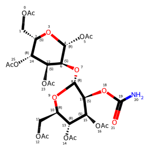 CC(=O)OC[C@@H]1O[C@H](OC(C)=O)[C@@H](O[C@H]2O[C@H](COC(C)=O)[C@@H](OC(C)=O)[C@H](OC(C)=O)[C@@H]2OC(N)=O)[C@@H](OC(C)=O)[C@@H]1OC(C)=O